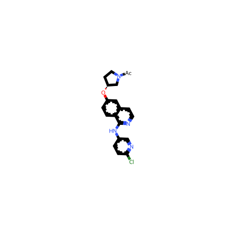 CC(=O)N1CC[C@@H](Oc2ccc3c(Nc4ccc(Cl)nc4)nccc3c2)C1